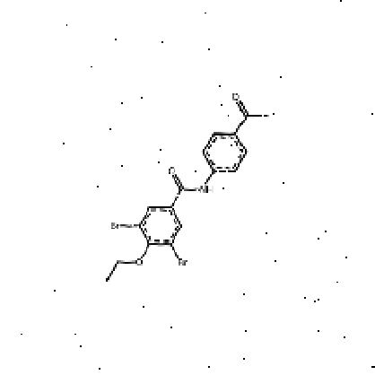 CCOc1c(Br)cc(C(=O)Nc2ccc(C(C)=O)cc2)cc1Br